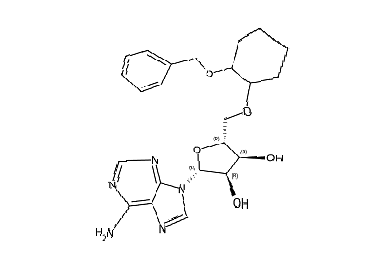 Nc1ncnc2c1ncn2[C@@H]1O[C@H](COC2CCCCC2OCc2ccccc2)[C@@H](O)[C@H]1O